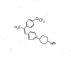 CCCC1CCC(c2ccc(C=C(C)c3ccc(OC(F)(F)F)cc3)cc2)CC1